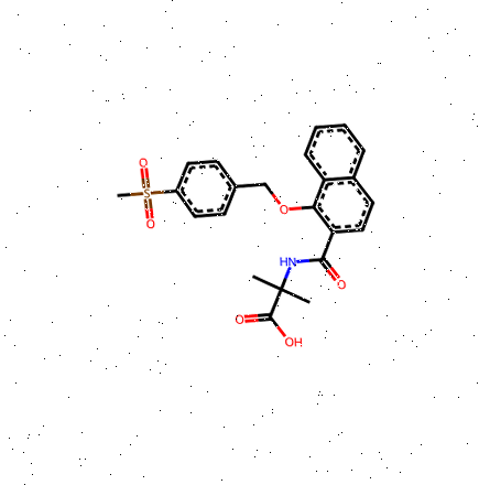 CC(C)(NC(=O)c1ccc2ccccc2c1OCc1ccc(S(C)(=O)=O)cc1)C(=O)O